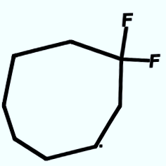 FC1(F)C[CH]CCCCC1